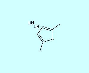 CC1=CC=C(C)[CH]1.[LiH].[LiH]